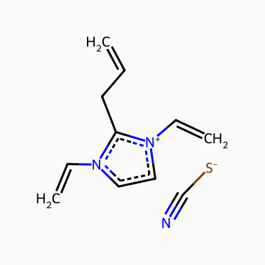 C=CCc1n(C=C)cc[n+]1C=C.N#C[S-]